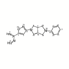 N=NC(=N)c1cc(N2CC3CN(c4ccccc4)CC3C2)no1